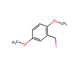 COc1ccc(OC)c(CI)c1